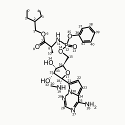 CCC(CC)COC(=O)[C@H](C)NP(=O)(OC[C@H]1O[C@@](NC)(c2ccc3c(N)ncnn23)[C@H](O)[C@@H]1O)Oc1ccccc1